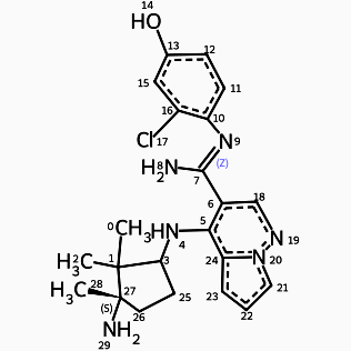 CC1(C)C(Nc2c(/C(N)=N/c3ccc(O)cc3Cl)cnn3cccc23)CC[C@]1(C)N